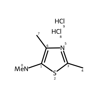 CNc1sc(C)nc1C.Cl.Cl